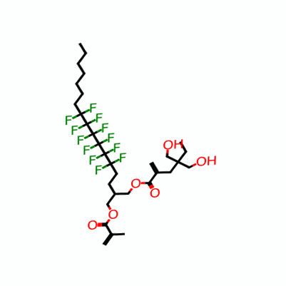 C=C(C)C(=O)OCC(CCC(F)(F)C(F)(F)C(F)(F)C(F)(F)C(F)(F)C(F)(F)CCCCCCC)COC(=O)C(=C)CC(CC)(CO)CO